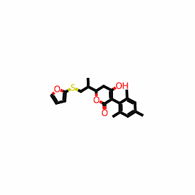 Cc1cc(C)c(C2=C(O)CC(C(C)CSc3ccco3)OC2=O)c(C)c1